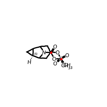 CCOC(=O)N1C2CC(OS(C)(=O)=O)CC1[C@H]1CC21